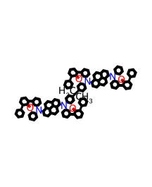 CC(C)(c1ccc(N(c2ccc3ccc4c(N(c5ccccc5)c5cccc6c5oc5c(-c7ccccc7)cccc56)ccc5ccc2c3c54)c2cccc3c2oc2c(-c4ccccc4)cccc23)cc1)c1ccc(N(c2ccc3ccc4c(N(c5ccccc5)c5cccc6c5oc5c(-c7ccccc7)cccc56)ccc5ccc2c3c54)c2cccc3c2oc2c(-c4ccccc4)cccc23)cc1